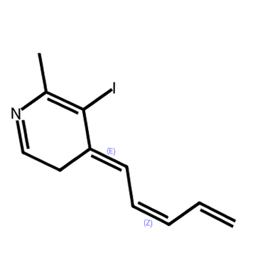 C=C/C=C\C=C1/CC=NC(C)=C1I